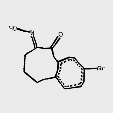 O=C1/C(=N/O)CCCc2ccc(Br)cc21